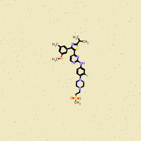 COc1cc(C)cc(-c2nc(C(C)C)sc2-c2ccnc(Nc3ccc(N4CCN(CCS(C)(=O)=O)CC4)c(F)c3)n2)c1